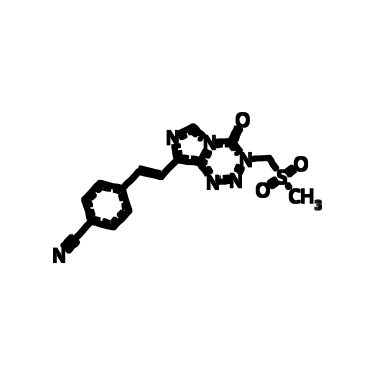 CS(=O)(=O)Cn1nnc2c(C=Cc3ccc(C#N)cc3)ncn2c1=O